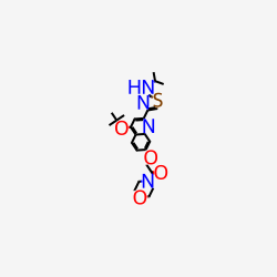 CC(C)Nc1nc(-c2cc(OC(C)(C)C)c3ccc(OCC(=O)N4CCOCC4)cc3n2)cs1